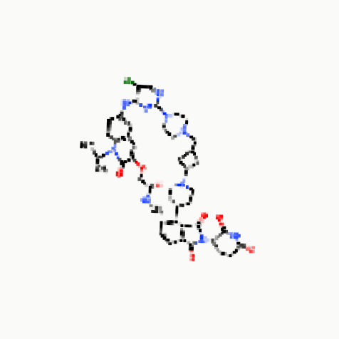 CNC(=O)COc1cc2cc(Nc3nc(N4CCN(CC5CC(N6CCC(c7cccc8c7C(=O)N([C@H]7CCC(=O)NC7=O)C8=O)CC6)C5)CC4)ncc3Cl)ccc2n(C(C)C)c1=O